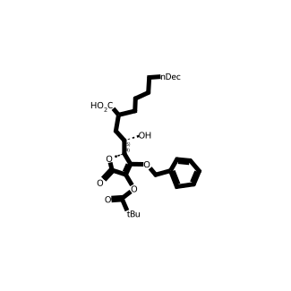 CCCCCCCCCCCCCCC(C[C@H](O)[C@H]1OC(=O)C(OC(=O)C(C)(C)C)=C1OCc1ccccc1)C(=O)O